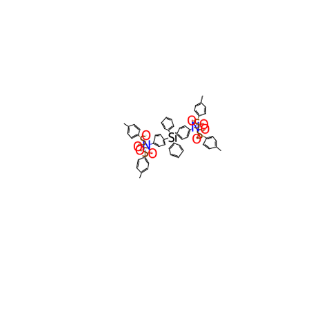 Cc1ccc(S(=O)(=O)N(c2ccc([Si](c3ccccc3)(c3ccccc3)c3ccc(N(S(=O)(=O)c4ccc(C)cc4)S(=O)(=O)c4ccc(C)cc4)cc3)cc2)S(=O)(=O)c2ccc(C)cc2)cc1